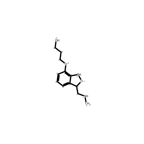 CNCC1OBc2c(OCCCO)cccc21